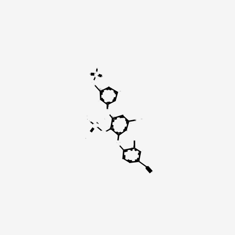 C#Cc1ccc(Nc2cc(F)cc(Oc3cccc(NS(=O)(=O)CC)c3)c2NS(N)(=O)=O)c(F)c1